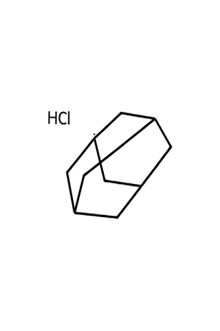 C1[C]2CC3CC1CC(C2)C3.Cl